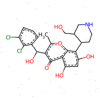 Cc1oc2c(C3CCNCC3CO)c(O)cc(O)c2c(=O)c1C(O)c1cccc(Cl)c1Cl